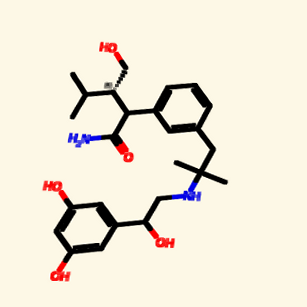 CC(C)[C@H](CO)C(C(N)=O)c1cccc(CC(C)(C)NCC(O)c2cc(O)cc(O)c2)c1